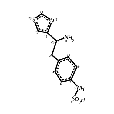 N[C@@H](Cc1ccc(NS(=O)(=O)O)cc1)c1cscn1